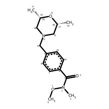 CON(C)C(=O)c1ccc(CN2C[C@@H](C)O[C@@H](C)C2)cc1